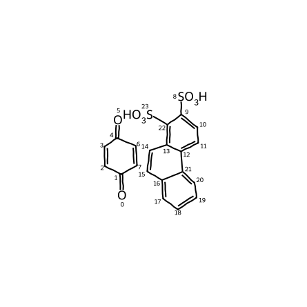 O=C1C=CC(=O)C=C1.O=S(=O)(O)c1ccc2c(ccc3ccccc32)c1S(=O)(=O)O